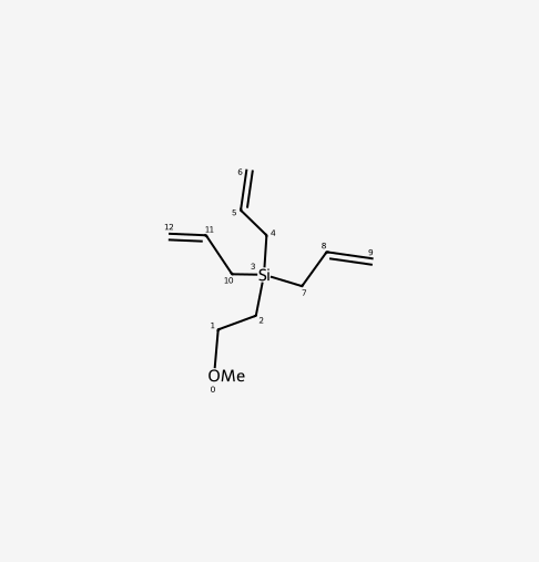 [CH2]OCC[Si](CC=C)(CC=C)CC=C